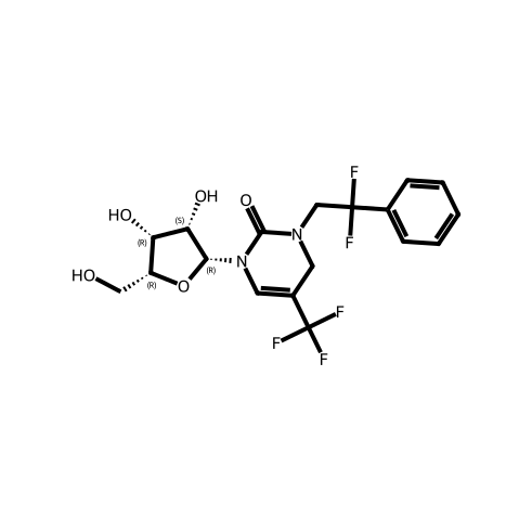 O=C1N(CC(F)(F)c2ccccc2)CC(C(F)(F)F)=CN1[C@@H]1O[C@H](CO)[C@H](O)[C@@H]1O